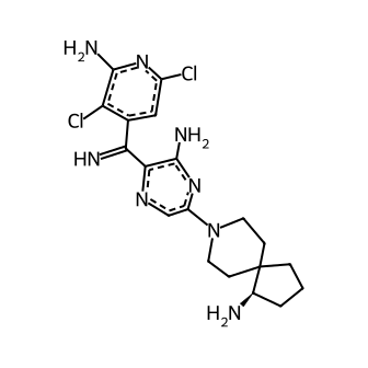 N=C(c1cc(Cl)nc(N)c1Cl)c1ncc(N2CCC3(CCC[C@H]3N)CC2)nc1N